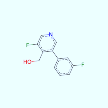 OCc1c(F)cncc1-c1cccc(F)c1